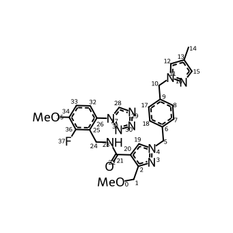 COCc1nn(Cc2ccc(Cn3cc(C)cn3)cc2)cc1C(=O)NCc1c(-n2cnnn2)ccc(OC)c1F